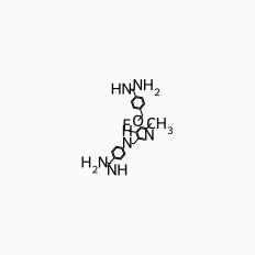 Cc1ncc(CNc2ccc(C(=N)N)cc2)c(CF)c1OCc1ccc(C(=N)N)cc1